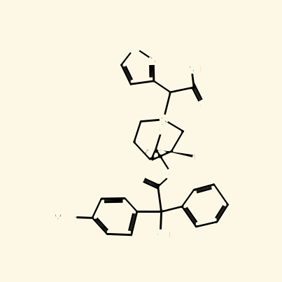 COc1ccc(C(O)(C(=O)O[C@H]2C[N+]3(C(C(N)=O)c4ccon4)CCC2CC3)c2ccccc2)cc1